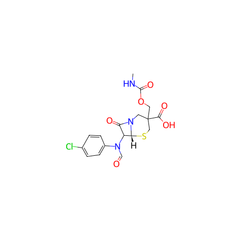 CNC(=O)OCC1(C(=O)O)CS[C@@H]2C(N(C=O)c3ccc(Cl)cc3)C(=O)N2C1